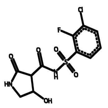 O=C1NCC(O)C1C(=O)NS(=O)(=O)c1cccc(Cl)c1F